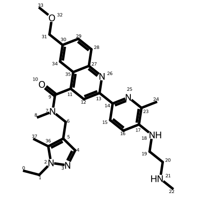 CCn1ncc(CN(C)C(=O)c2cc(-c3ccc(NCCNC)c(C)n3)nc3ccc(COC)cc23)c1C